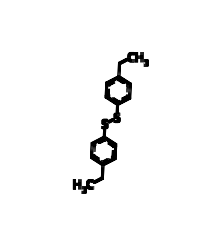 CCc1ccc(SSc2ccc(CC)cc2)cc1